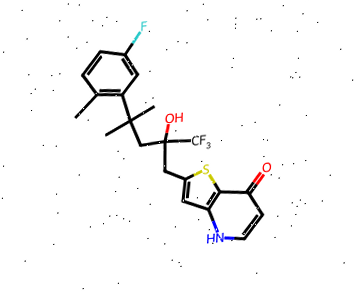 Cc1ccc(F)cc1C(C)(C)CC(O)(Cc1cc2[nH]ccc(=O)c2s1)C(F)(F)F